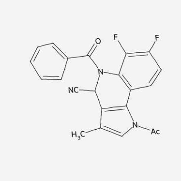 CC(=O)n1cc(C)c2c1-c1ccc(F)c(F)c1N(C(=O)c1ccccc1)C2C#N